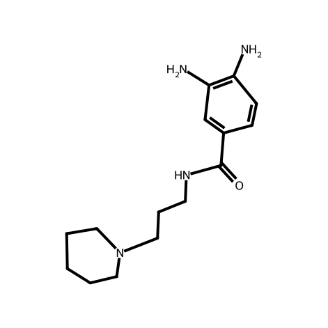 Nc1ccc(C(=O)NCCCN2CCCCC2)cc1N